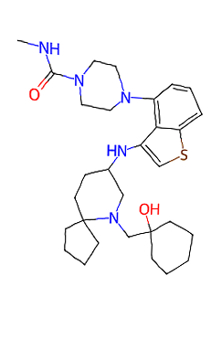 CNC(=O)N1CCN(c2cccc3scc(NC4CCC5(CCCC5)N(CC5(O)CCCCC5)C4)c23)CC1